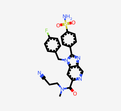 CN(CCC#N)C(=O)c1cc2c(cn1)nc(-c1ccc(S(N)(=O)=O)cc1)n2Cc1ccc(F)cc1